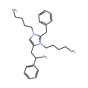 CCCCCn1cc(CC(C)c2ccccc2)[n+](CCCCC)c1Cc1ccccc1